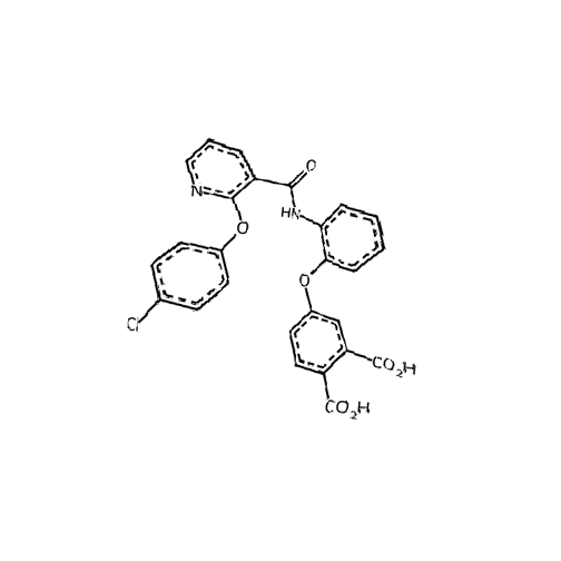 O=C(O)c1ccc(Oc2ccccc2NC(=O)c2cccnc2Oc2ccc(Cl)cc2)cc1C(=O)O